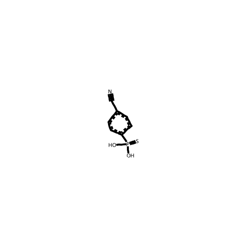 N#Cc1ccc(P(O)(O)=S)cc1